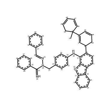 CC1(C2=CC(c3ccc4c(oc5ccccc54)c3Nc3ccc(CN(/N=C/c4ccccc4)C(=N)c4ccccc4)cc3)CC=C2)C=CC=CC1